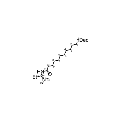 CCCCCCCCCCCCCCCCCCCCC(=O)NC(CC)N(C)C